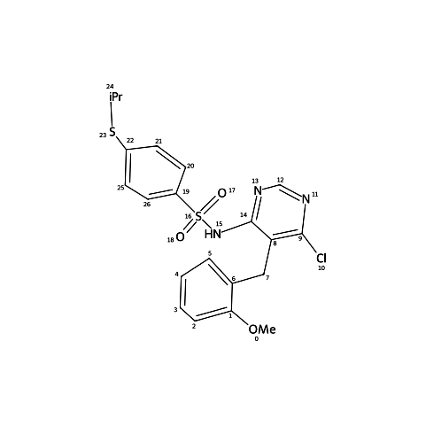 COc1ccccc1Cc1c(Cl)ncnc1NS(=O)(=O)c1ccc(SC(C)C)cc1